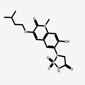 CC(C)CCOc1cc2cc(N3CC(=O)NS3(=O)=O)c(O)cc2n(C)c1=O